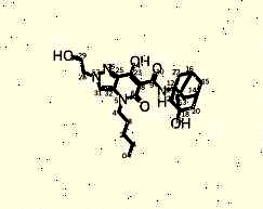 CCCCCn1c(=O)c(C(=O)NC23CC4CC(CC(O)(C4)C2)C3)c(O)c2nn(CCO)cc21